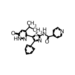 CC(C)c1cc(=O)[nH]nc1-c1sc(NC(=O)c2ccncc2)nc1-c1ccccc1